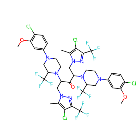 COc1cc(N2CCN(C(Cn3nc(C(F)(F)F)c(Cl)c3C)C(=O)C(Cn3nc(C(F)(F)F)c(Cl)c3C)N3CCN(c4ccc(Cl)c(OC)c4)CC3C(F)(F)F)C(C(F)(F)F)C2)ccc1Cl